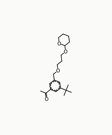 CC(=O)c1cc(COCCCOC2CCCCO2)cc(C(C)(C)C)c1